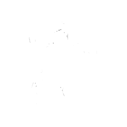 C[C@@H](O)[C@H]1C(=O)N2C(OC(=O)O)=C(S[C@@H]3CN[C@H](C4CC(=O)NC4=O)C3)C[C@H]12